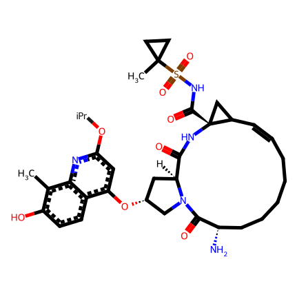 Cc1c(O)ccc2c(O[C@@H]3C[C@H]4C(=O)N[C@]5(C(=O)NS(=O)(=O)C6(C)CC6)CC5/C=C\CCCCC[C@H](N)C(=O)N4C3)cc(OC(C)C)nc12